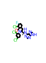 C[C@H](Nc1ncnc2[nH]cnc12)c1cc2ccc(F)c(Cl)c2c(=O)n1-c1ccc(Cl)cc1Cl